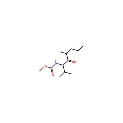 CCCC(C)C(=O)C(NC(=O)OC)C(C)C